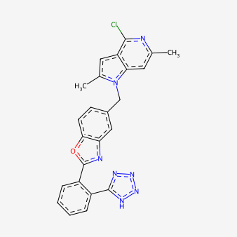 Cc1cc2c(cc(C)n2Cc2ccc3oc(-c4ccccc4-c4nnn[nH]4)nc3c2)c(Cl)n1